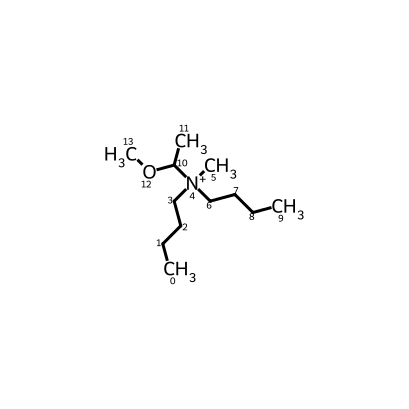 CCCC[N+](C)(CCCC)C(C)OC